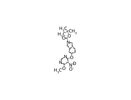 COc1ncnc(Oc2ccc3cn(C(=O)OC(C)(C)C)cc3c2)c1[N+](=O)[O-]